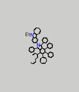 C=C/C(=C\C/C=C\C)c1c(C2=CCC=CC=C2)c(-c2ccccc2)c(-c2ccccc2)c2c(-c3ccccc3)n(-c3ccc4c(c3)c3c(n4CC)C=CCC=C3)c(-c3ccccc3)c12